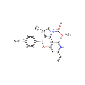 C=Cc1cc(OCc2ccc(OC)cc2)c(-c2cc(C(F)(F)F)cn2C(=O)OC(C)(C)C)cn1